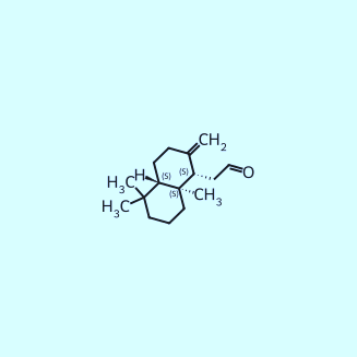 C=C1CC[C@H]2C(C)(C)CCC[C@]2(C)[C@H]1CC=O